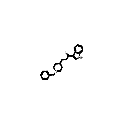 O=C(CCC1CCN(Cc2ccccc2)CC1)c1c[nH]c2ccccc12